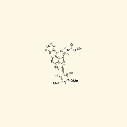 COc1cc(OC)c(F)c(C#Cc2nn([C@H]3CCN(C(=O)OC(C)(C)C)C3)c3c(CN4CCOCC4)cnc(N)c23)c1F